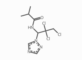 CC(C)C(=O)NC(n1cncn1)C(Cl)(Cl)CCl